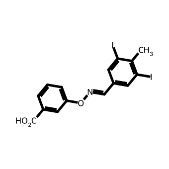 Cc1c(I)cc(/C=N/Oc2cccc(C(=O)O)c2)cc1I